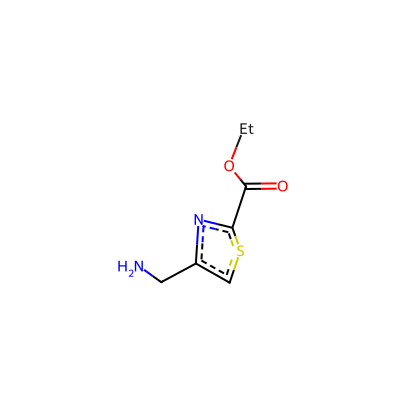 CCOC(=O)c1nc(CN)cs1